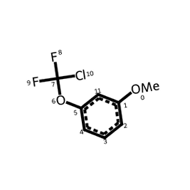 COc1cccc(OC(F)(F)Cl)c1